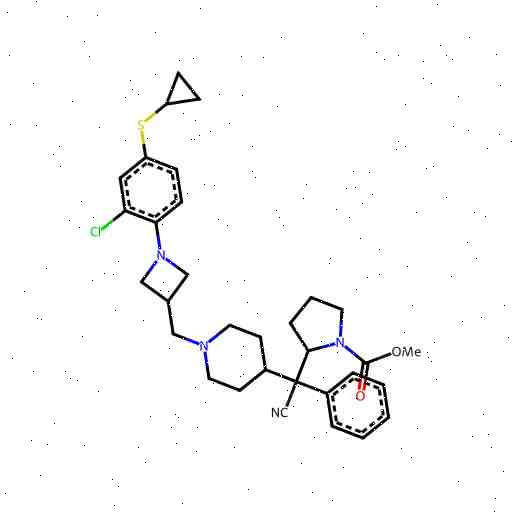 COC(=O)N1CCCC1C(C#N)(c1ccccc1)C1CCN(CC2CN(c3ccc(SC4CC4)cc3Cl)C2)CC1